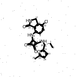 CC[C@@H](Nc1c(Nc2ccc(Cl)c3c2C(=O)NC3)c(=O)c1=O)c1ccc(C)o1